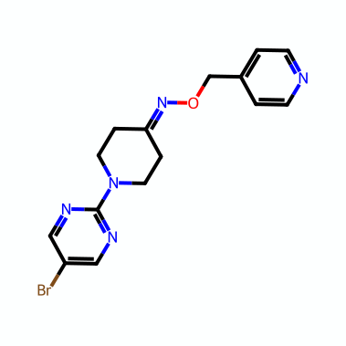 Brc1cnc(N2CCC(=NOCc3ccncc3)CC2)nc1